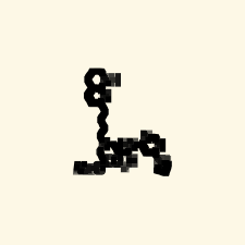 COCCN(CCCCc1ccc2c(n1)NCCC2)CC[C@H](Nc1cc([N+]2=CC=C2)ncn1)C(=O)O